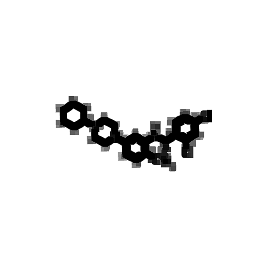 C[C@@H](Nc1cc(N2CCN(C3CCCCC3)CC2)ccc1C#N)c1ccc(Cl)cc1Cl